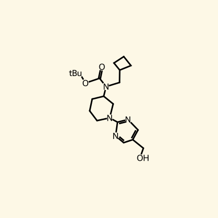 CC(C)(C)OC(=O)N(CC1CCC1)C1CCCN(c2ncc(CO)cn2)C1